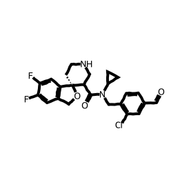 O=Cc1ccc(CN(C(=O)C2CNCC[C@@]23OCc2cc(F)c(F)cc23)C2CC2)c(Cl)c1